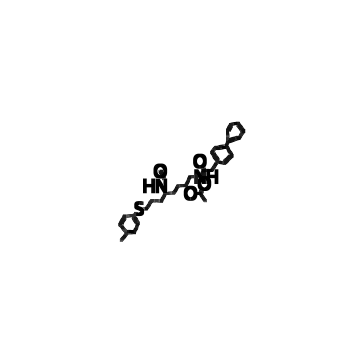 CC(=O)OC(CCC(CCCSc1ccc(C)cc1)NC=O)CNC(=O)Cc1ccc(-c2ccccc2)cc1